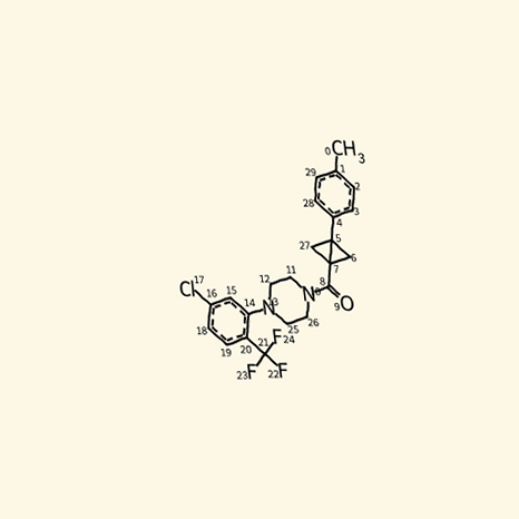 Cc1ccc(C23CC2(C(=O)N2CCN(c4cc(Cl)ccc4C(F)(F)F)CC2)C3)cc1